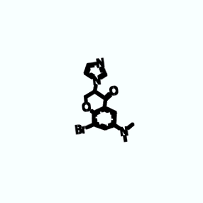 CN(C)c1cc(Br)c2c(c1)C(=O)C(n1ccnc1)CO2